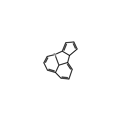 C1=CC2=CC=CN3C4=CC=CC4C(=C1)C23